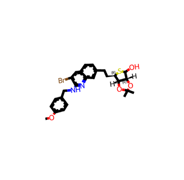 COc1ccc(CNc2nc3cc(CC[C@H]4SC(O)[C@@H]5OC(C)(C)O[C@H]45)ccc3cc2Br)cc1